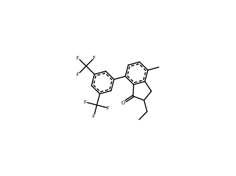 CCC1Cc2c(C)ccc(-c3cc(C(F)(F)F)cc(C(F)(F)F)c3)c2C1=O